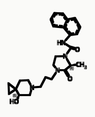 C[C@H]1C(=O)N(CCCN2CCC3(CC3)[C@H](O)C2)CCN1C(=O)Nc1cccc2ccccc12